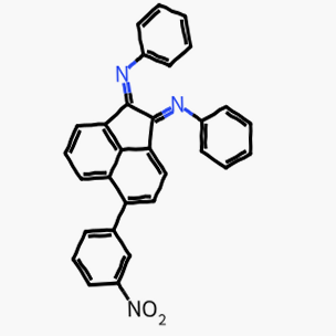 O=[N+]([O-])c1cccc(-c2ccc3c4c(cccc24)C(=Nc2ccccc2)C3=Nc2ccccc2)c1